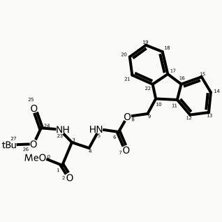 COC(=O)C(CNC(=O)OCC1c2ccccc2-c2ccccc21)NC(=O)OC(C)(C)C